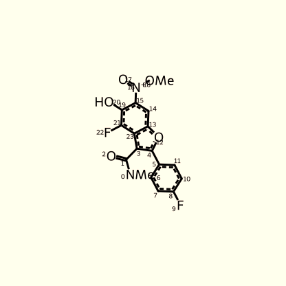 CNC(=O)c1c(-c2ccc(F)cc2)oc2cc([N+](=O)OC)c(O)c(F)c12